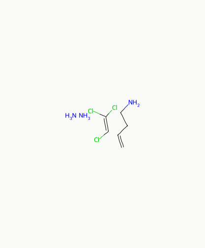 C=CCCN.ClC=C(Cl)Cl.N.N